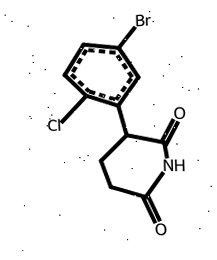 O=C1CCC(c2cc(Br)ccc2Cl)C(=O)N1